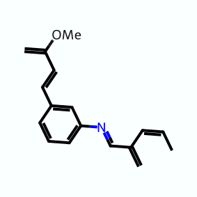 C=C(/C=C\C)/C=N/c1cccc(/C=C/C(=C)OC)c1